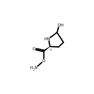 NOC(=O)[C@@H]1CCC(O)N1